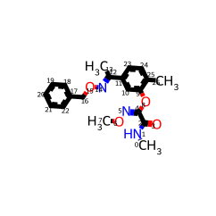 CNC(=O)C(=NOC)Oc1cc(C(C)=NOCc2ccccc2)ccc1C